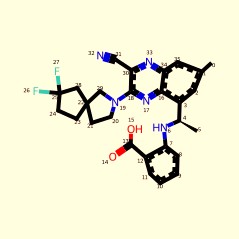 Cc1cc([C@@H](C)Nc2ccccc2C(=O)O)c2nc(N3CCC4(CCC(F)(F)C4)C3)c(C#N)nc2c1